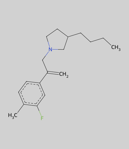 C=C(CN1CCC(CCCC)C1)c1ccc(C)c(F)c1